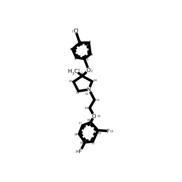 CC1(Oc2ccc(Cl)cc2)CCN(CCOc2ccc(F)cc2F)C1